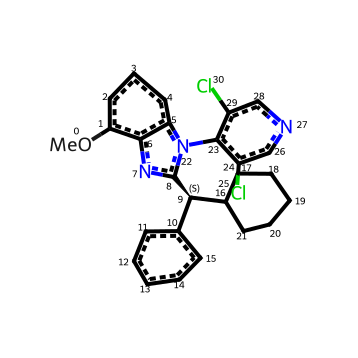 COc1cccc2c1nc([C@H](c1ccccc1)C1CCCCC1)n2-c1c(Cl)cncc1Cl